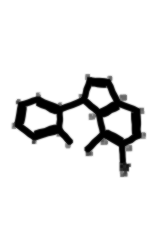 Cc1ccccc1C1C=Cc2ccc(Br)c(C)c21